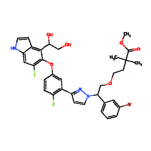 COC(=O)C(C)(C)CCOCC(c1cccc(Br)c1)n1ccc(-c2cc(Oc3c(F)cc4[nH]ccc4c3C(O)CO)ccc2F)n1